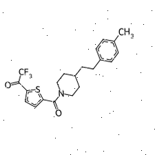 Cc1ccc(CCC2CCN(C(=O)c3ccc(C(=O)C(F)(F)F)s3)CC2)cc1